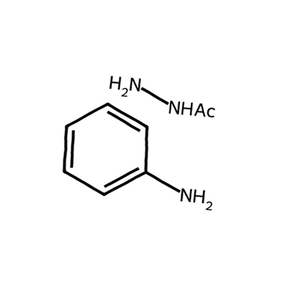 CC(=O)NN.Nc1ccccc1